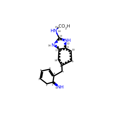 N=C1CC=CC=C1Cc1ccc2[nH]c(NC(=O)O)nc2c1